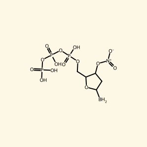 BC1CC(O[N+](=O)[O-])C(COP(=O)(O)OP(=O)(O)OP(=O)(O)O)O1